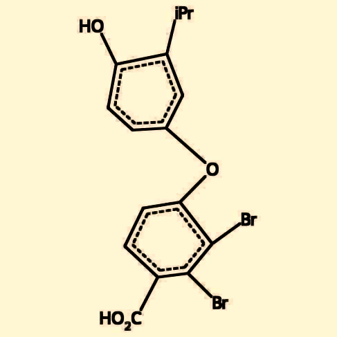 CC(C)c1cc(Oc2ccc(C(=O)O)c(Br)c2Br)ccc1O